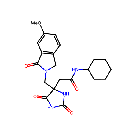 COc1ccc2c(c1)C(=O)N(CC1(CC(=O)NC3CCCCC3)NC(=O)NC1=O)C2